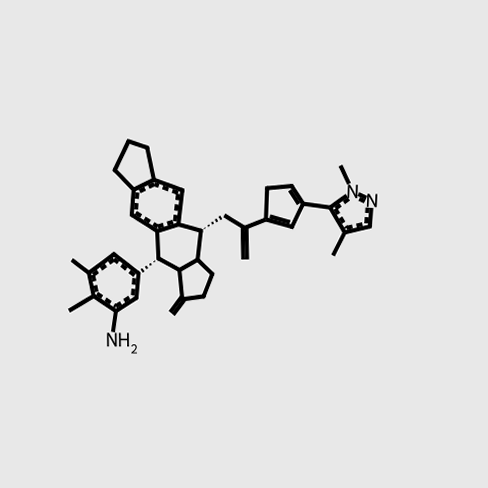 C=C(C[C@H]1c2cc3c(cc2[C@@H](c2cc(C)c(C)c(N)c2)C2C(=C)CCC21)CCC3)C1=CC(c2c(C)cnn2C)=CC1